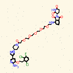 Nc1ncc(-c2cnn(C3CCN(C(=O)CCOCCOCCOCCOCCOCCNc4cccc5c4C(=O)N([C@@H]4CCC(=O)NC4=O)C5=O)CC3)c2)cc1OCCc1c(Cl)ccc(F)c1Cl